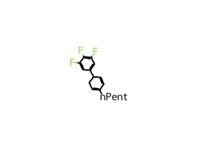 CCCCCC1=CCC(c2cc(F)c(F)c(F)c2)C=C1